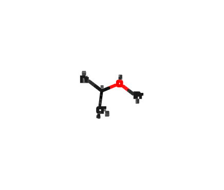 CCC(OC(C)C)C(F)(F)F